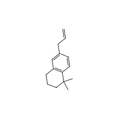 C=CCc1ccc2c(c1)CCCC2(C)C